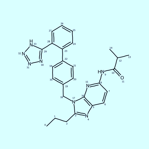 CCCc1nc2ccc(NC(=O)C(C)C)nc2n1Cc1ccc(-c2ccccc2-c2nnn[nH]2)cc1